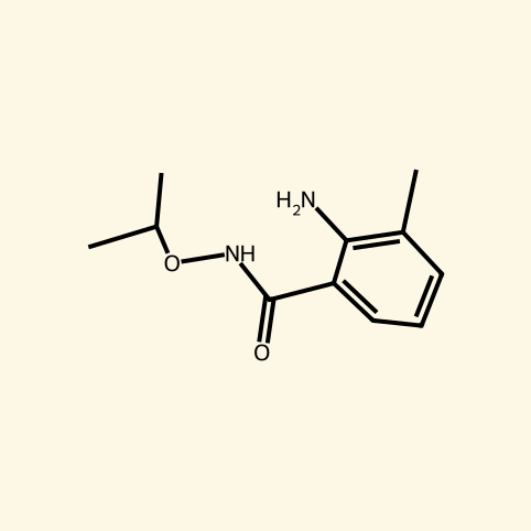 Cc1cccc(C(=O)NOC(C)C)c1N